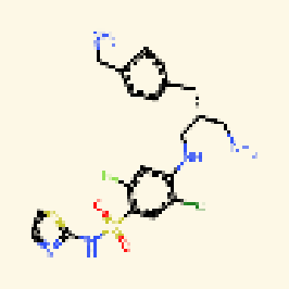 NCc1ccc(C[C@H](CN)CNc2cc(F)c(S(=O)(=O)Nc3nccs3)cc2Cl)cc1